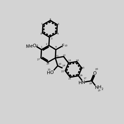 COC1=C(c2ccccc2)C(F)C(Cc2ccc(NC(N)=O)cc2)(C(C)O)C=C1